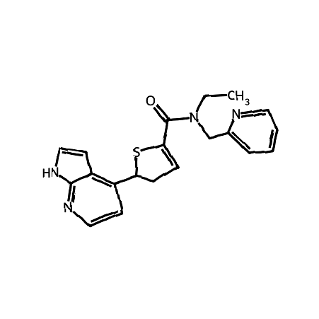 CCN(Cc1ccccn1)C(=O)C1=CCC(c2ccnc3[nH]ccc23)S1